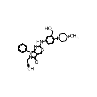 C#CCn1c(=O)c2cnc(Nc3ccc(N4CCN(C)CC4)c(CO)c3)nc2n1-c1ccccc1